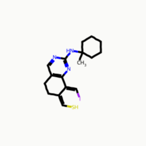 CC1(Nc2ncc3c(n2)C(=C/I)/C(=C\S)CC3)CCCCC1